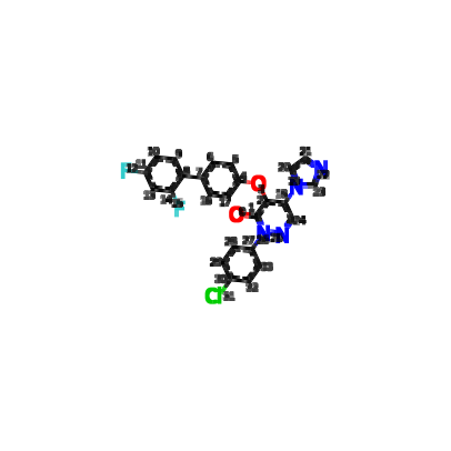 O=c1c(Oc2ccc(-c3ccc(F)cc3F)cc2)c(-n2ccnc2)cnn1-c1ccc(Cl)cc1